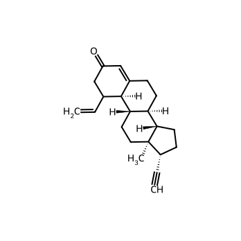 C#C[C@H]1CC[C@H]2[C@@H]3CCC4=CC(=O)CC(C=C)[C@@H]4[C@H]3CC[C@]12C